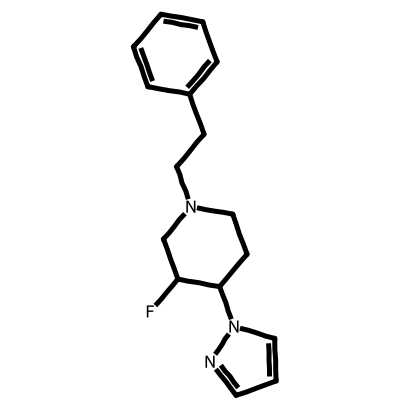 FC1CN(CCc2ccccc2)CCC1n1cccn1